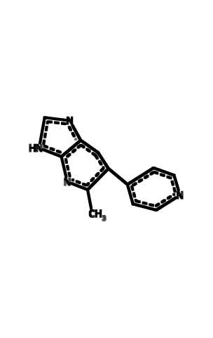 Cc1nc2[nH]cnc2cc1-c1ccncc1